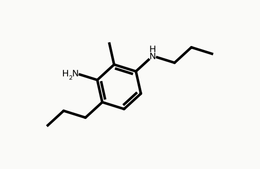 CCCNc1ccc(CCC)c(N)c1C